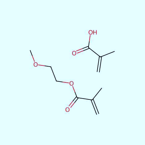 C=C(C)C(=O)O.C=C(C)C(=O)OCCOC